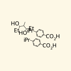 CC(C)c1ccc(C(=O)O)cc1.CC(C)c1ccc(C(=O)O)cc1.CCC(O)C(C)C(O)CC